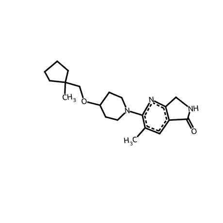 Cc1cc2c(nc1N1CCC(OCC3(C)CCCC3)CC1)CNC2=O